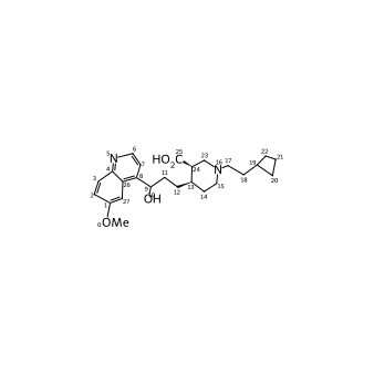 COc1ccc2nccc(C(O)CC[C@@H]3CCN(CCC4CCC4)C[C@@H]3C(=O)O)c2c1